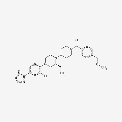 CC[C@H]1CN(c2ncc(-c3ncc[nH]3)cc2Cl)CCN1C1CCN(C(=O)c2ccc(COC)cc2)CC1